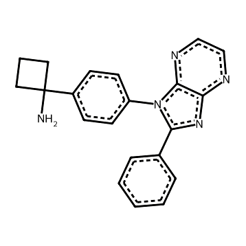 NC1(c2ccc(-n3c(-c4ccccc4)nc4nccnc43)cc2)CCC1